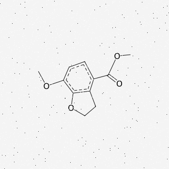 COC(=O)c1ccc(OC)c2c1CCO2